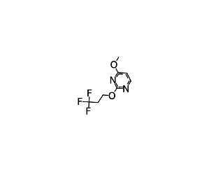 COc1ccnc(OCCC(F)(F)F)n1